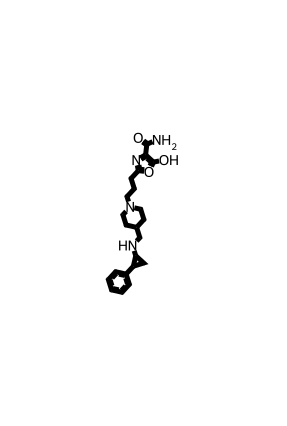 NC(=O)c1nc(CCCN2CCC(CNC3CC3c3ccccc3)CC2)oc1O